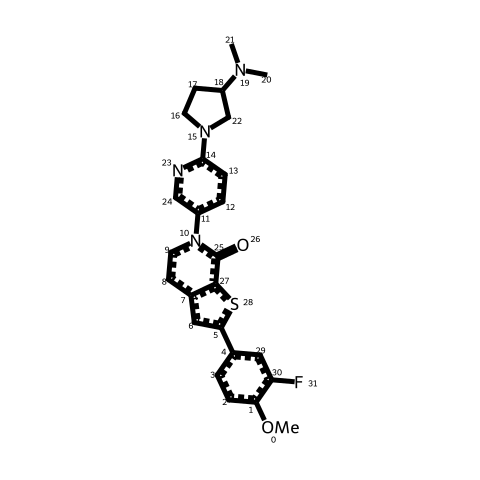 COc1ccc(-c2cc3ccn(-c4ccc(N5CCC(N(C)C)C5)nc4)c(=O)c3s2)cc1F